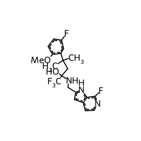 COc1ccc(F)cc1C(C)(C)CC(O)(NCc1cc2ccnc(F)c2[nH]1)C(F)(F)F